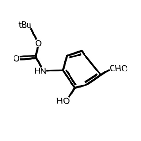 CC(C)(C)OC(=O)Nc1ccc(C=O)cc1O